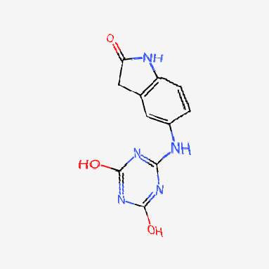 O=C1Cc2cc(Nc3nc(O)nc(O)n3)ccc2N1